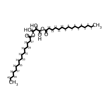 CCCCCCCCCCCCCCCC(=O)OC(O)C(O)C(O)OC(=O)CCCCCCCCCCCCCCC